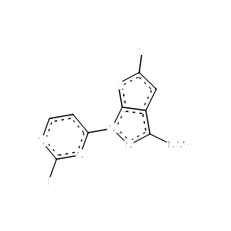 CNc1nn(-c2ccnc(Cl)n2)c2sc(Cl)cc12